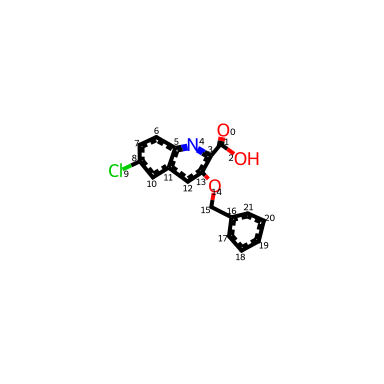 O=C(O)c1nc2ccc(Cl)cc2cc1OCc1ccccc1